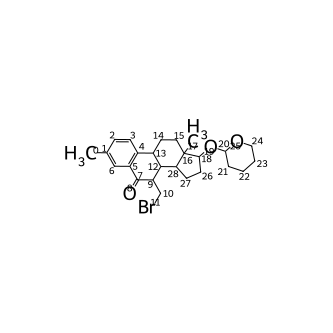 Cc1ccc2c(c1)C(=O)C(CBr)C1C2CCC2(C)C(OC3CCCCO3)CCC12